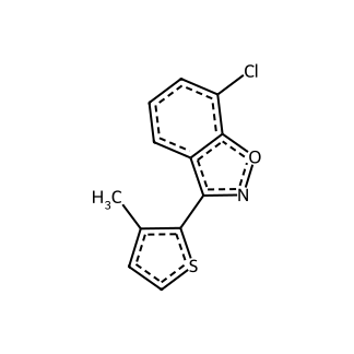 Cc1ccsc1-c1noc2c(Cl)cccc12